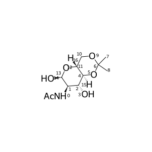 CC(=O)N[C@@H]1[C@@H](O)[C@@H]2OC(C)(C)OC[C@H]2O[C@@H]1O